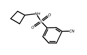 N#Cc1cccc(S(=O)(=O)NC2CCC2)c1